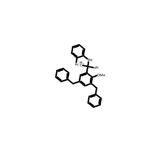 CCCC(C)(Pc1ccccc1C(C)=O)c1cc(Cc2ccccc2)cc(Cc2ccccc2)c1OC